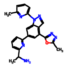 Cc1cccc(-n2ncc3c(-c4nnc(C)o4)cc(-c4cccc(C(C)N)n4)cc32)n1